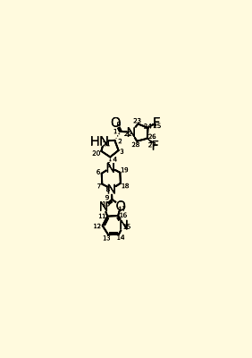 O=C([C@@H]1C[C@H](N2CCN(c3nc4cccnc4o3)CC2)CN1)N1C[C@@H](F)[C@@H](F)C1